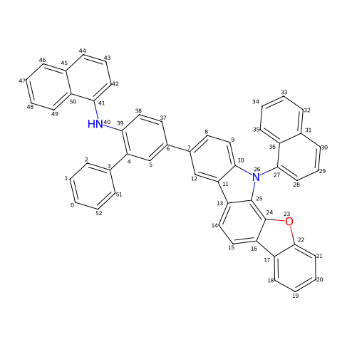 c1ccc(-c2cc(-c3ccc4c(c3)c3ccc5c6ccccc6oc5c3n4-c3cccc4ccccc34)ccc2Nc2cccc3ccccc23)cc1